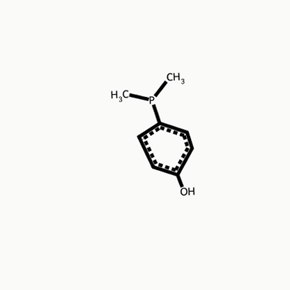 CP(C)c1ccc(O)cc1